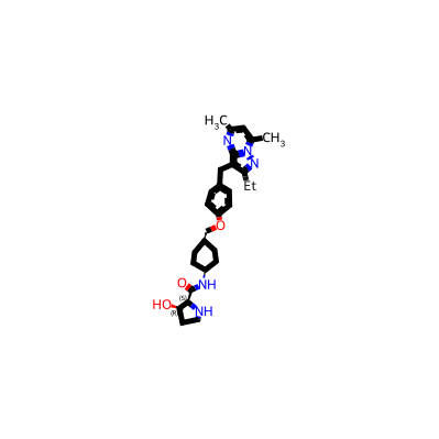 CCc1nn2c(C)cc(C)nc2c1Cc1ccc(OC[C@H]2CC[C@@H](NC(=O)[C@H]3NCC[C@H]3O)CC2)cc1